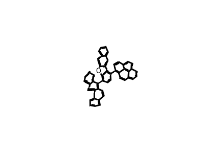 c1ccc2cc3c(cc2c1)oc1c(-c2c4ccccc4cc4c2ccc2ccccc24)ccc(-c2ccc4ccc5cccc6ccc2c4c56)c13